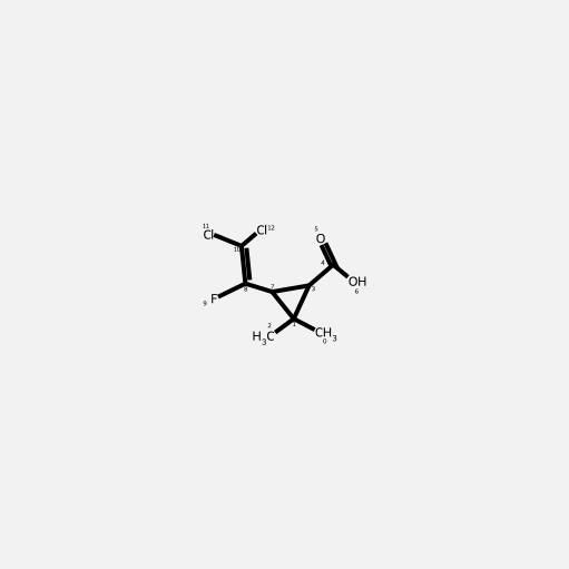 CC1(C)C(C(=O)O)C1C(F)=C(Cl)Cl